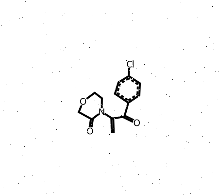 C=C(C(=O)c1ccc(Cl)cc1)N1CCOCC1=O